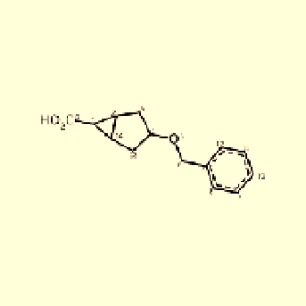 O=C(O)C1C2CC(OCc3ccccc3)CC21